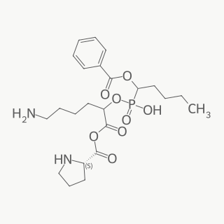 CCCCC(OC(=O)c1ccccc1)P(=O)(O)OC(CCCCN)C(=O)OC(=O)[C@@H]1CCCN1